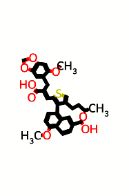 CCCCc1csc(/C=C(\Cc2cc3c(cc2OC)OCO3)C(=O)O)c1-c1ccc(OC)c2ccc(C(=O)O)cc12